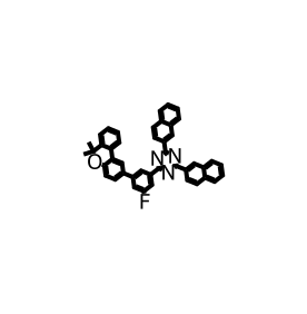 CC1(C)Oc2ccc(-c3cc(F)cc(-c4nc(-c5ccc6ccccc6c5)nc(-c5ccc6ccccc6c5)n4)c3)cc2-c2ccccc21